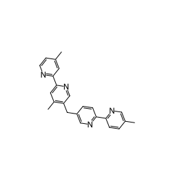 Cc1ccc(-c2ccc(Cc3cnc(-c4cc(C)ccn4)cc3C)cn2)nc1